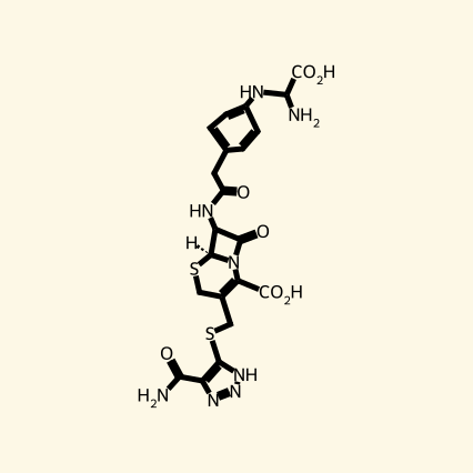 NC(=O)c1nn[nH]c1SCC1=C(C(=O)O)N2C(=O)C(NC(=O)Cc3ccc(NC(N)C(=O)O)cc3)[C@@H]2SC1